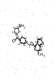 Cc1nc(OCc2ccc(C(=O)N3CCC(N)C3)cc2)c2ccsc2n1